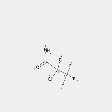 NC(=O)C(Cl)(Cl)C(F)(F)F